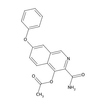 CC(=O)Oc1c(C(N)=O)ncc2cc(Oc3ccccc3)ccc12